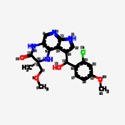 COC[C@]1(C)Nc2c(cnc3[nH]cc(C(O)c4ccc(OC)cc4Cl)c23)NC1=O